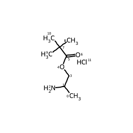 CC(N)COC(=O)C(C)(C)C.Cl